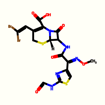 CON=C(C(=O)NC1C(=O)N2C(C(=O)O)=C(C=C(Br)Br)CS[C@@H]12)c1csc(NC=O)n1